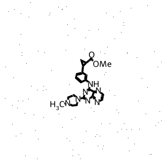 COC(=O)C1CC1c1cccc(Nc2nc(N3CCN(C)CC3)nc3nccnc23)c1